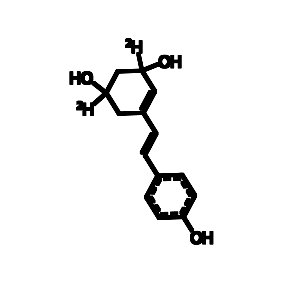 [2H]C1(O)C=C(C=Cc2ccc(O)cc2)CC([2H])(O)C1